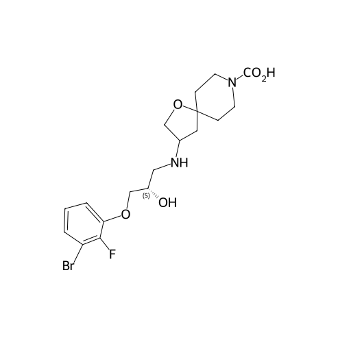 O=C(O)N1CCC2(CC1)CC(NC[C@H](O)COc1cccc(Br)c1F)CO2